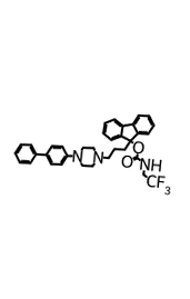 O=C(NCC(F)(F)F)OC1(CCCN2CCN(c3ccc(-c4ccccc4)cc3)CC2)c2ccccc2-c2ccccc21